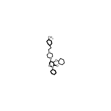 Cc1ccc(CCN2CCN(c3cnn(-c4ccccc4)c(=O)c3OC3CCCCC3)CC2)cc1